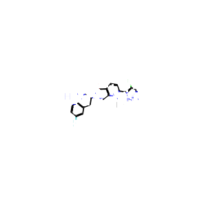 Cn1ncc(Cl)c1-c1ccc2c(n1)CN([C@H](CN)Cc1cccc(F)c1)C2=O